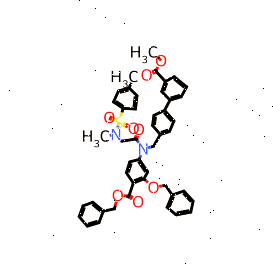 COC(=O)c1cccc(-c2ccc(CN(C(=O)CN(C)S(=O)(=O)c3ccc(C)cc3)c3ccc(C(=O)OCc4ccccc4)c(OCc4ccccc4)c3)cc2)c1